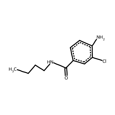 CCCCNC(=O)c1ccc(N)c(Cl)c1